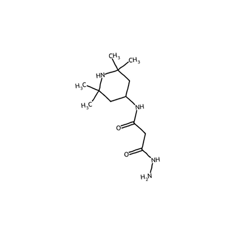 CC1(C)CC(NC(=O)CC(=O)NN)CC(C)(C)N1